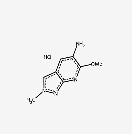 COc1nc2nn(C)cc2cc1N.Cl